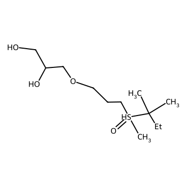 CCC(C)(C)[SH](C)(=O)CCCOCC(O)CO